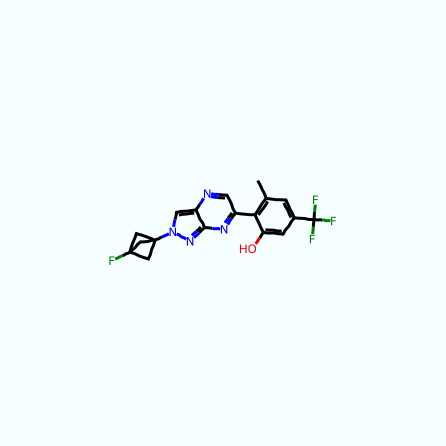 Cc1cc(C(F)(F)F)cc(O)c1-c1cnc2cn(C34CC(F)(C3)C4)nc2n1